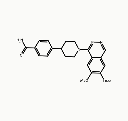 COc1cc2cnnc(N3CCC(c4ccc(C(N)=O)cc4)CC3)c2cc1OC